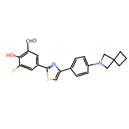 O=Cc1cc(-c2nc(-c3ccc(N4CC5(CCC5)C4)cc3)cs2)cc(F)c1O